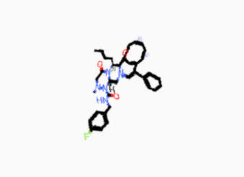 CCCC[C@@H]1N2C(=O)CN(C)N(C(=O)NCc3ccc(F)cc3)[C@H]2CN2CC(c3ccccc3)C3=CC4OC(/C=C\C=C/3)C412